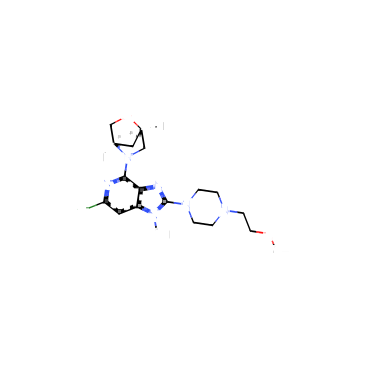 COCCN1CCN(c2nc3c(N4C[C@H]5C[C@@H]4CO5)nc(Cl)cc3n2C)CC1